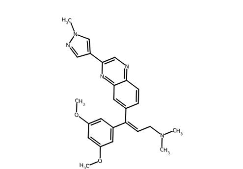 COc1cc(OC)cc(/C(=C/CN(C)C)c2ccc3ncc(-c4cnn(C)c4)nc3c2)c1